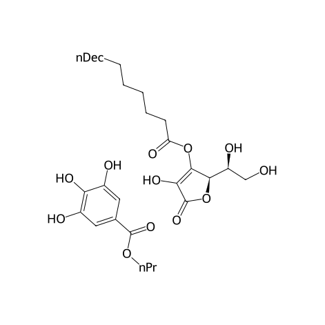 CCCCCCCCCCCCCCCC(=O)OC1=C(O)C(=O)O[C@@H]1[C@@H](O)CO.CCCOC(=O)c1cc(O)c(O)c(O)c1